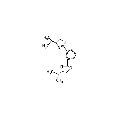 CC(C)[C@H]1COC(c2cccc(C3=N[C@@H](C(C)C)CO3)c2)=N1